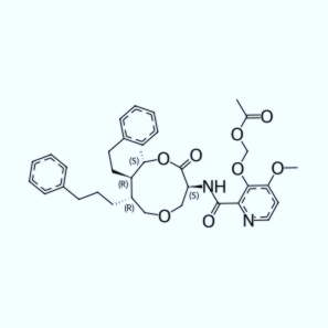 COc1ccnc(C(=O)N[C@H]2COC[C@H](CCCc3ccccc3)[C@@H](CCc3ccccc3)[C@H](C)OC2=O)c1OCOC(C)=O